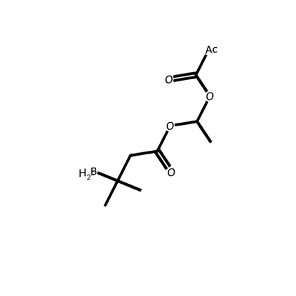 BC(C)(C)CC(=O)OC(C)OC(=O)C(C)=O